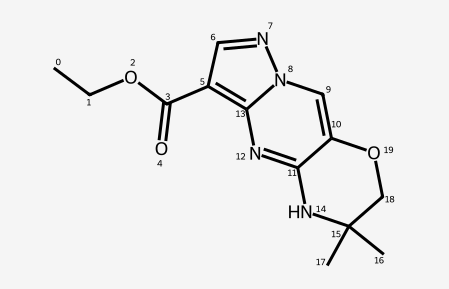 CCOC(=O)c1cnn2cc3c(nc12)NC(C)(C)CO3